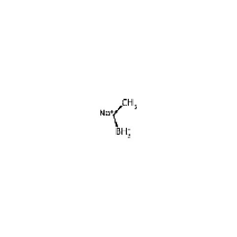 [BH3-]CC.[Na+]